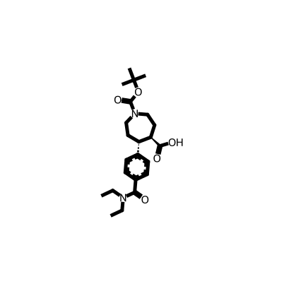 CCN(CC)C(=O)c1ccc([C@@H]2CCN(C(=O)OC(C)(C)C)CC[C@H]2C(=O)O)cc1